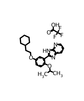 CC(C)Oc1ccc(OCCC2CCCCC2)cc1-c1nc2cccnc2[nH]1.O=C(O)C(F)(F)F